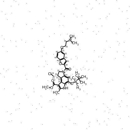 COC(=O)c1c(C)[nH]c2c(O[Si](C)(C)C(C)(C)C)cc3c(c12)[C@H](CCl)CN3C(=O)c1cc2cc(OCCN(C)C)ccc2o1